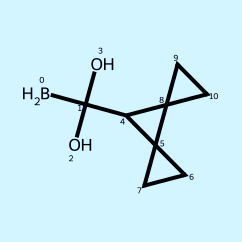 BC(O)(O)C1C2(CC2)C12CC2